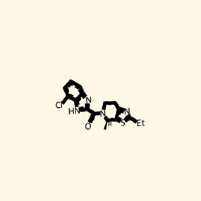 CCc1nc2c(s1)[C@@H](C)N(C(=O)c1nc3cccc(Cl)c3[nH]1)CC2